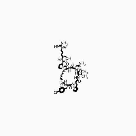 CC(C)[C@@H]1NC(=O)[C@H](Cc2cccs2)NC(=O)[C@H](Cc2ccc(Cl)cc2)NC(=O)CCCSC[C@@H](C(=O)N2CCC[C@H]2C(=O)N[C@H](CO)CCCNC(=N)N)NC(=O)[C@H](CC(N)=O)NC1=O